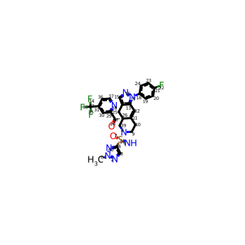 Cn1ncc(S(=N)(=O)N2CCC3=Cc4c(cnn4-c4ccc(F)cc4)C[C@]3(C(=O)c3cc(C(F)(F)F)ccn3)C2)n1